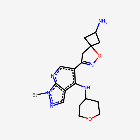 CCn1ncc2c(NC3CCOCC3)c(C3=NOC4(C3)CC(N)C4)cnc21